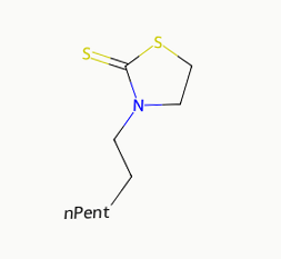 CCCCCCCN1CCSC1=S